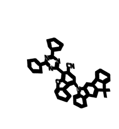 CC1(C)c2ccccc2-c2cc3c(cc21)c1ccccc1n3-c1cc(C#N)c(-c2nc(-c3ccccc3)nc(-c3ccccc3)n2)c2oc3ccccc3c12